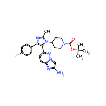 Cc1nc(-c2ccc(F)cc2)c(-c2ccc3nc(N)cn3n2)n1C1CCN(C(=O)OC(C)(C)C)CC1